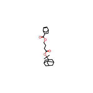 CC(C)(OC(=O)CCCOC(=O)C1CC2C=CC1C2)C12CC3CC(CC(C3)C1)C2